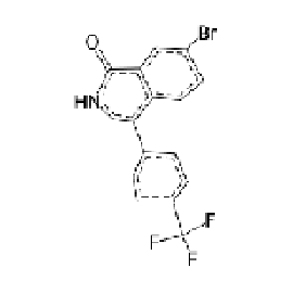 O=c1[nH]cc(-c2ccc(C(F)(F)F)cc2)c2ccc(Br)cc12